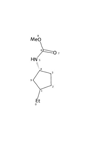 CCC1CC[C@@H](NC(=O)OC)C1